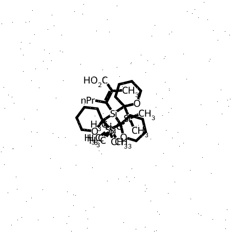 CCCC(=C(C)C(=O)O)[Si](C1([Si](C)(C)C)CCCCO1)(C1([Si](C)(C)C)CCCCO1)C1([Si](C)(C)C)CCCCO1